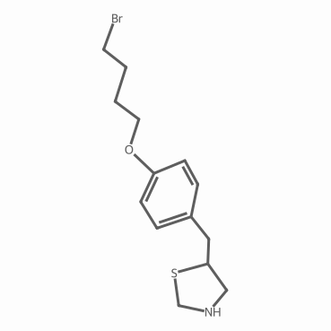 BrCCCCOc1ccc(CC2CNCS2)cc1